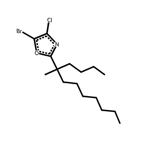 CCCCCCCC(C)(CCCC)c1nc(Cl)c(Br)o1